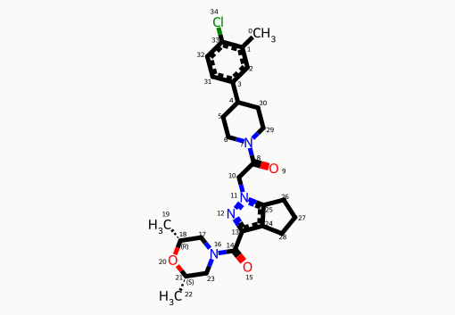 Cc1cc(C2CCN(C(=O)Cn3nc(C(=O)N4C[C@@H](C)O[C@@H](C)C4)c4c3CCC4)CC2)ccc1Cl